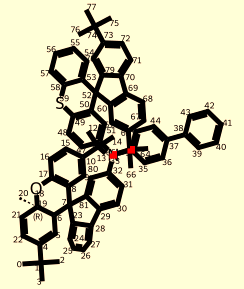 CC(C)(C)C1=CC2C3(c4cc(C(C)(C)C)ccc4O[C@]2(C)C=C1)c1ccccc1-c1ccc(N(c2ccc(-c4ccccc4)cc2)c2ccc4c(c2)C2(c5ccccc5S4)c4cc(C(C)(C)C)ccc4-c4ccc(C(C)(C)C)cc42)cc13